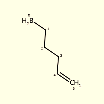 BCCCC=C